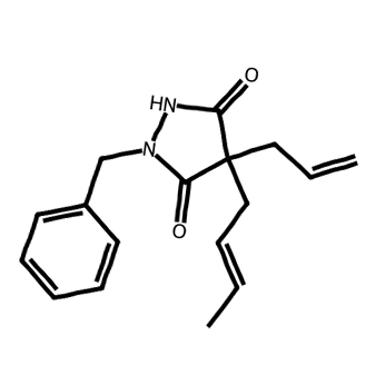 C=CCC1(CC=CC)C(=O)NN(Cc2ccccc2)C1=O